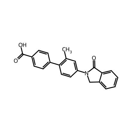 Cc1cc(N2Cc3ccccc3C2=O)ccc1-c1ccc(C(=O)O)cc1